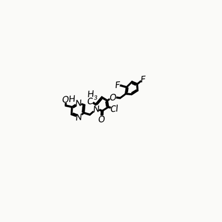 Cc1cc(OCc2ccc(F)cc2F)c(Cl)c(=O)n1Cc1cnc(CO)cn1